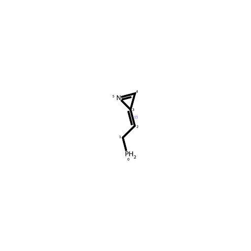 PC/C=C1C=N/1